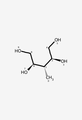 C[C@@H]([C@H](O)CO)[C@@H](O)CO